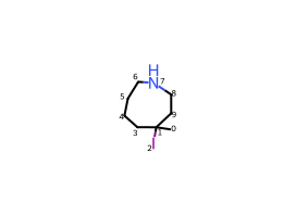 CC1(I)CCCCNCC1